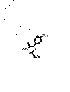 CNC(=O)OC(C(=O)NC)c1ccc(OC)cc1